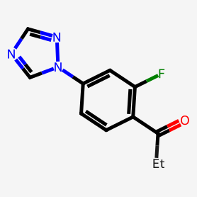 CCC(=O)c1ccc(-n2cncn2)cc1F